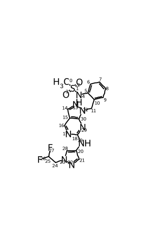 CS(=O)(=O)Nc1ccccc1Cn1ncc2cnc(Nc3cnn(CC(F)F)c3)nc21